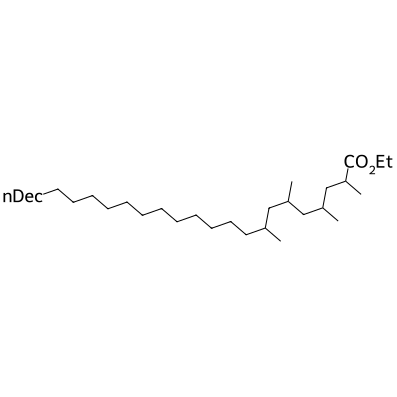 CCCCCCCCCCCCCCCCCCCCCCC(C)CC(C)CC(C)CC(C)C(=O)OCC